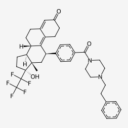 C[C@]12C[C@H](c3ccc(C(=O)N4CCN(CCc5ccccc5)CC4)cc3)C3=C4CCC(=O)C=C4CC[C@H]3[C@@H]1CC[C@]2(O)C(F)(F)C(F)(F)F